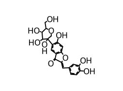 O=C1/C(=C/c2ccc(O)c(O)c2)Oc2cc(O)c(C3(O)COC(CO)[C@H](O)C3O)cc21